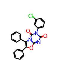 O=c1nc2oc(-c3ccccc3)c(-c3ccccc3)n2c(=O)n1-c1cccc(Cl)c1